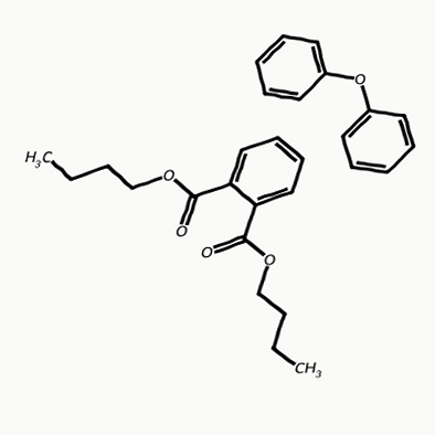 CCCCOC(=O)c1ccccc1C(=O)OCCCC.c1ccc(Oc2ccccc2)cc1